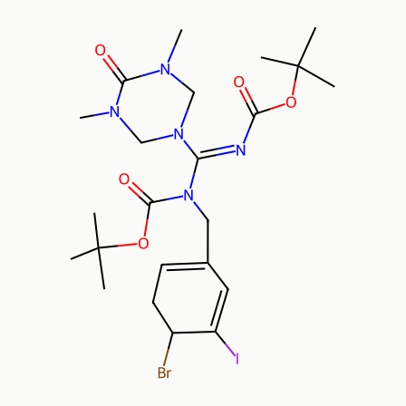 CN1CN(/C(=N\C(=O)OC(C)(C)C)N(CC2=CCC(Br)C(I)=C2)C(=O)OC(C)(C)C)CN(C)C1=O